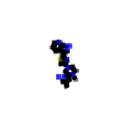 CC(C)C[C@@]1(N)CN(c2csc(-c3n[nH]c4ncccc34)n2)CCN1C